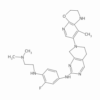 Cc1c(N2CCc3cnc(Nc4ccc(NCCN(C)C)c(F)c4)nc3C2)cnc2c1NCCO2